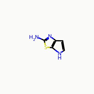 Nc1nc2cc[nH]c2s1